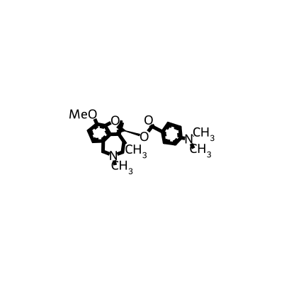 COc1ccc2c3c1OC1C[C@@H](OC(=O)c4ccc(N(C)C)cc4)C(C)[C@@]31CCN(C)C2